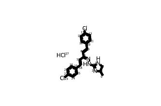 CC1CNC(NN=C(/C=C/c2ccc(Cl)cc2)/C=C/c2ccc(Cl)cc2)=N1.Cl